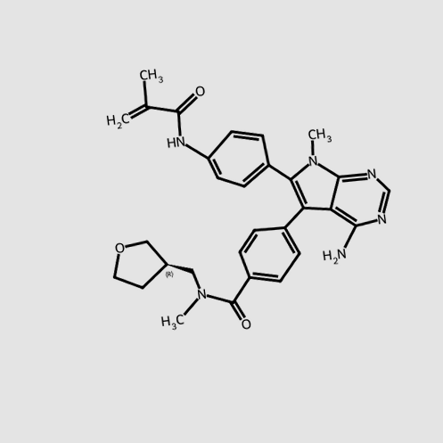 C=C(C)C(=O)Nc1ccc(-c2c(-c3ccc(C(=O)N(C)C[C@H]4CCOC4)cc3)c3c(N)ncnc3n2C)cc1